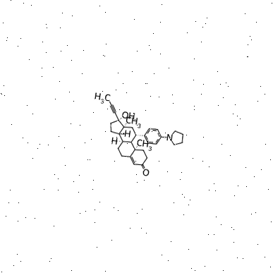 CC#C[C@]1(O)CC[C@H]2[C@@H]3CCC4=CC(=O)CC[C@]4(C)C3[C@@H](c3ccc(N4CCCC4)cc3)C[C@@]21C